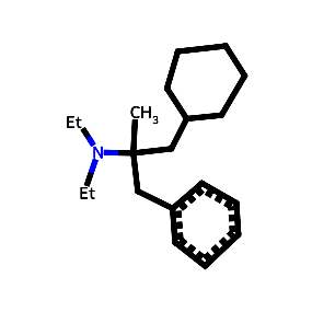 CCN(CC)C(C)(Cc1ccccc1)CC1CCCCC1